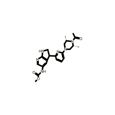 COC(=O)Nc1cnc2c(c1)C(c1cccc(N3C[C@@H](C)N(C(C)=O)[C@@H](C)C3)n1)CN2